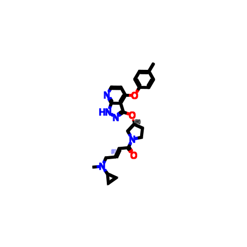 Cc1ccc(Oc2ccnc3[nH]nc(O[C@@H]4CCN(C(=O)/C=C/CN(C)C5CC5)C4)c23)cc1